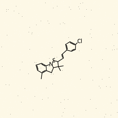 Cc1cccc2c1CC1N2SC(C=Cc2ccc(Cl)cc2)C1(C)C